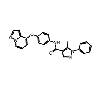 Cc1c(C(=O)Nc2ccc(Oc3cccn4nccc34)cc2)cnn1-c1ccccc1